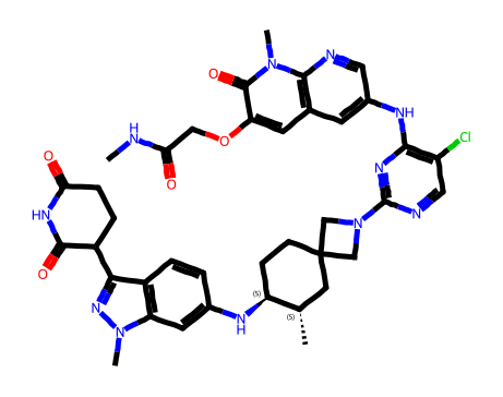 CNC(=O)COc1cc2cc(Nc3nc(N4CC5(CC[C@H](Nc6ccc7c(C8CCC(=O)NC8=O)nn(C)c7c6)[C@@H](C)C5)C4)ncc3Cl)cnc2n(C)c1=O